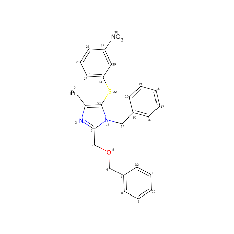 CC(C)c1nc(COCc2ccccc2)n(Cc2ccccc2)c1Sc1cccc([N+](=O)[O-])c1